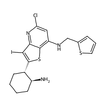 N[C@H]1CCCC[C@@H]1c1sc2c(NCc3cccs3)cc(Cl)nc2c1I